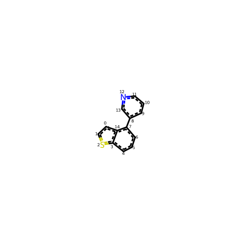 [c]1csc2cccc(-c3cccnc3)c12